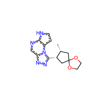 C[C@@H]1CC2(C[C@@H]1c1nnc3cnc4[nH]ccc4n13)OCCO2